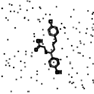 O=C(O)CSC(CCCc1ccc(Cl)cc1)c1ccc(O)cc1